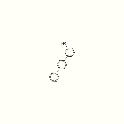 Sc1cccc(-c2ccc(-c3ccccc3)cc2)c1